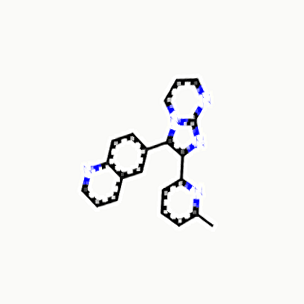 Cc1cccc(-c2nc3ncccn3c2-c2ccc3ncccc3c2)n1